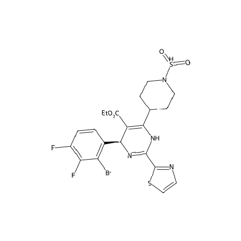 CCOC(=O)C1=C(C2CCN([SH](=O)=O)CC2)NC(c2nccs2)=N[C@H]1c1ccc(F)c(F)c1Br